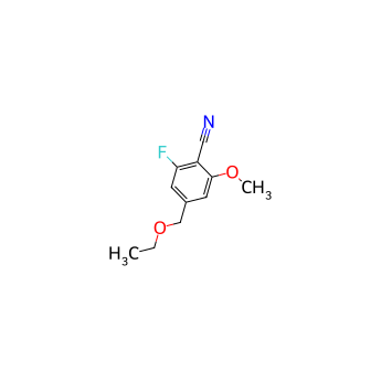 CCOCc1cc(F)c(C#N)c(OC)c1